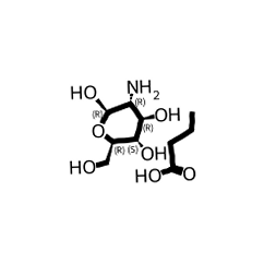 CCCC(=O)O.N[C@@H]1[C@@H](O)[C@H](O)[C@@H](CO)O[C@H]1O